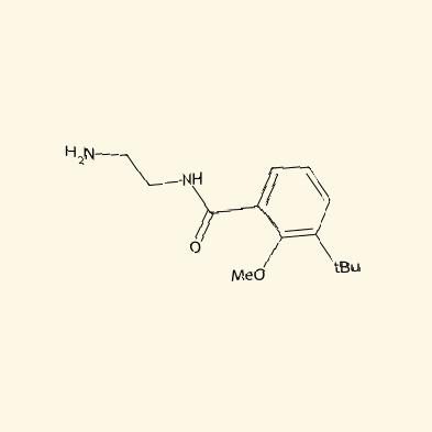 COc1c(C(=O)NCCN)cccc1C(C)(C)C